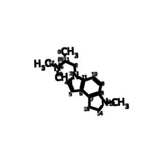 C[C@H](Cn1ccc2c3c(ccc21)N(C)CC3)N(C)C